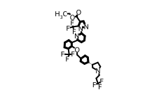 CCOC(=O)c1cnn(-c2cccc(-c3cccc(C(F)(F)F)c3OCc3ccc([C@@H]4CCN(CCC(F)(F)F)C4)cc3)n2)c1C(F)(F)F